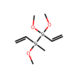 C=C[Si](C)(OC)[Si](C=C)(OC)OC